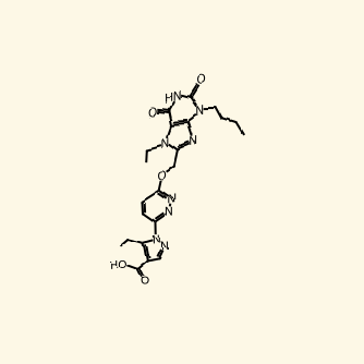 CCCCn1c(=O)[nH]c(=O)c2c1nc(COc1ccc(-n3ncc(C(=O)O)c3CC)nn1)n2CC